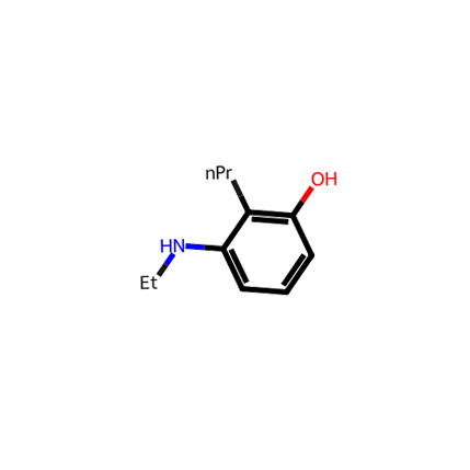 CCCc1c(O)cccc1NCC